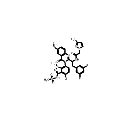 Cn1nc(NS(C)(=O)=O)c2c(Cl)ccc(-n3c(C(Cc4cc(F)cc(F)c4)NC(=O)Cn4ccc(C(F)(F)F)n4)nc4ccc(OC(F)(F)F)cc4c3=O)c21